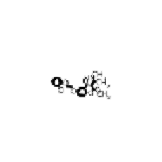 CNC(C)=C(C(=O)OC)C(=O)c1cccc(OCCOc2ccccc2Cl)c1